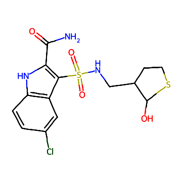 NC(=O)c1[nH]c2ccc(Cl)cc2c1S(=O)(=O)NCC1CCSC1O